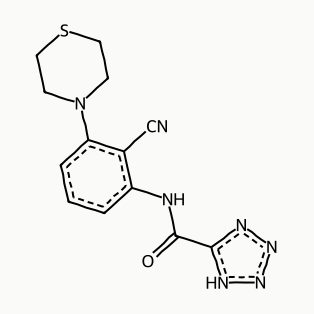 N#Cc1c(NC(=O)c2nnn[nH]2)cccc1N1CCSCC1